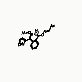 CON=C(c1ccon1)c1ccccc1C(C)ON=CC(C)=O